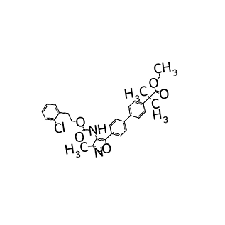 CCOC(=O)C(C)(C)c1ccc(-c2ccc(-c3onc(C)c3NC(=O)OCCc3ccccc3Cl)cc2)cc1